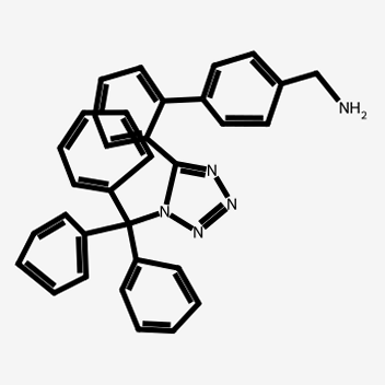 NCc1ccc(-c2ccccc2-c2nnnn2C(c2ccccc2)(c2ccccc2)c2ccccc2)cc1